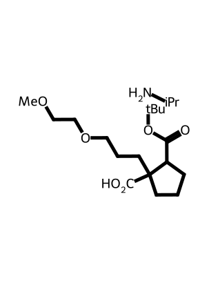 CC(C)N.COCCOCCCC1(C(=O)O)CCCC1C(=O)OC(C)(C)C